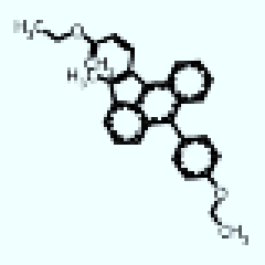 C=C(/C=C\C1=C(C)c2cccc3c(-c4ccc(OCC)cc4)c4ccccc4c1c23)OCC